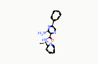 C[C@@H](NC(=O)c1ncc(-c2ccccc2)nc1N)c1ccccn1